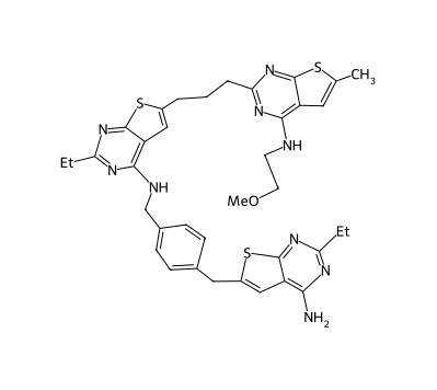 CCc1nc(N)c2cc(Cc3ccc(CNc4nc(CC)nc5sc(CCCc6nc(NCCOC)c7cc(C)sc7n6)cc45)cc3)sc2n1